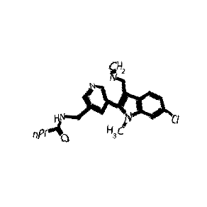 C=NCc1c(-c2cncc(CNC(=O)CCC)c2)n(C)c2cc(Cl)ccc12